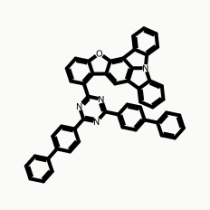 c1ccc(-c2ccc(-c3nc(-c4ccc(-c5ccccc5)cc4)nc(-c4cccc5oc6c(cc7c8ccccc8n8c9ccccc9c6c78)c45)n3)cc2)cc1